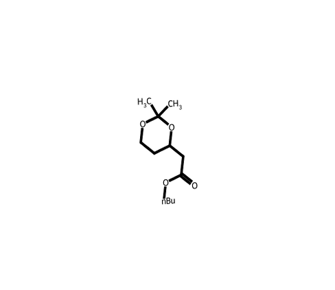 CCCCOC(=O)CC1CCOC(C)(C)O1